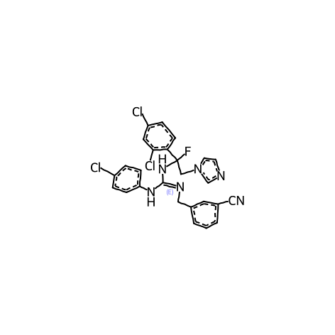 N#Cc1cccc(C/N=C(\Nc2ccc(Cl)cc2)NC(F)(Cn2ccnc2)c2ccc(Cl)cc2Cl)c1